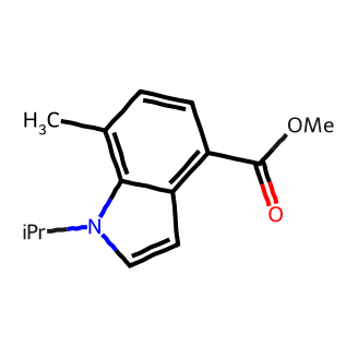 COC(=O)c1ccc(C)c2c1ccn2C(C)C